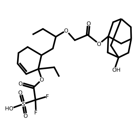 CCC(CC1CCC=CC1(CC)OC(=O)C(F)(F)S(=O)(=O)O)OCC(=O)OC12CC3CC(CC(O)(C3)C1)C2